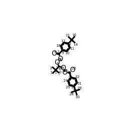 [CH2]C(C)(C)[C](OOC(=O)c1ccc(C(C)(C)C)cc1)OOC(=O)c1ccc(C(C)(C)C)cc1